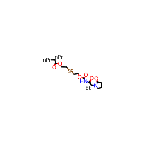 CCCC(CCC)C(=O)OCCSSCCOC(=O)NC(=O)[C@H](CC)N1CCCC1=O